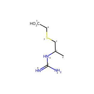 CC(CSCC(=O)O)NC(=N)N